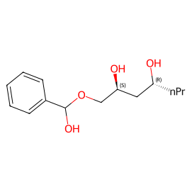 CCC[C@@H](O)C[C@H](O)COC(O)c1ccccc1